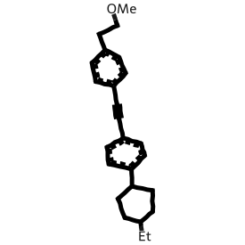 CCC1CCC(c2ccc(C#Cc3ccc(CCOC)cc3)cc2)CC1